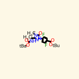 C[C@@H](NC(=O)OC(C)(C)C)c1nn(-c2cc(F)c(C(=O)OC(C)(C)C)cc2F)c(=O)n1C